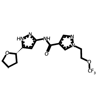 O=C(Nc1cc([C@@H]2C[CH]CO2)[nH]n1)c1cnn(CCOC(F)(F)F)c1